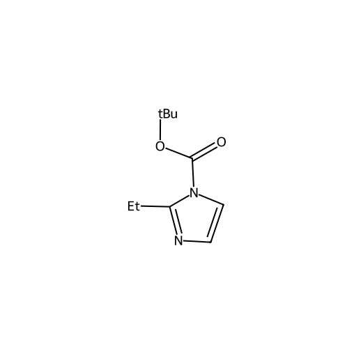 CCc1nccn1C(=O)OC(C)(C)C